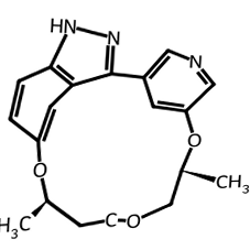 C[C@@H]1CCOC[C@H](C)Oc2cncc(c2)-c2n[nH]c3ccc(cc23)O1